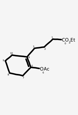 CCOC(=O)CCCC1=C(OC(C)=O)CCCC1